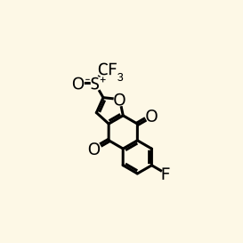 O=C1c2ccc(F)cc2C(=O)c2oc([S+]([O-])C(F)(F)F)cc21